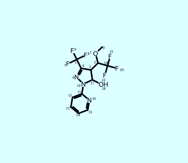 COC(C1C(C(F)(F)F)=NN(c2ccccn2)C1O)C(F)(F)F